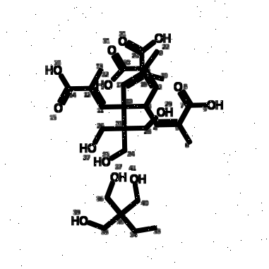 CC(=CC(C=C(C)C(=O)O)C(C=C(C)C(=O)O)(C=C(C)C(=O)O)C(CO)(CO)CO)C(=O)O.CCC(CO)(CO)CO